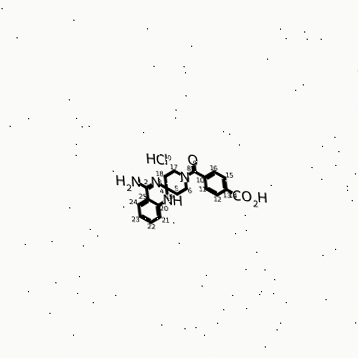 Cl.NC1=NC2(CCN(C(=O)c3ccc(C(=O)O)cc3)CC2)Nc2ccccc21